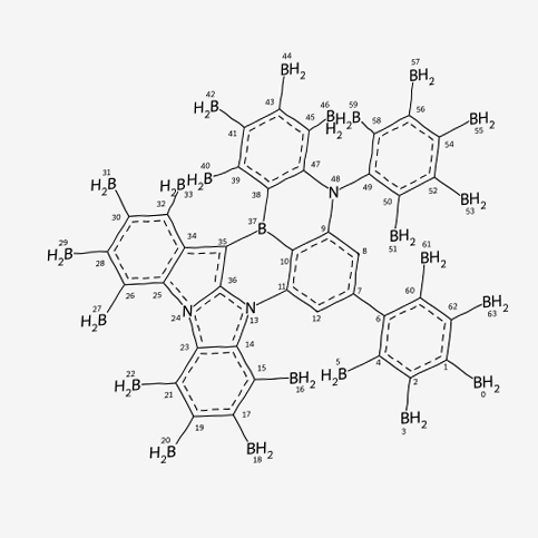 Bc1c(B)c(B)c(-c2cc3c4c(c2)-n2c5c(B)c(B)c(B)c(B)c5n5c6c(B)c(B)c(B)c(B)c6c(c25)B4c2c(B)c(B)c(B)c(B)c2N3c2c(B)c(B)c(B)c(B)c2B)c(B)c1B